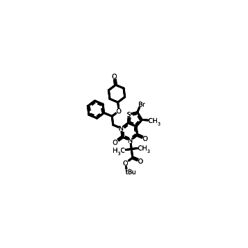 Cc1c(Br)sc2c1c(=O)n(C(C)(C)C(=O)OC(C)(C)C)c(=O)n2CC(OC1CCC(=O)CC1)c1ccccc1